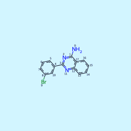 Nc1nc(-c2cccc(Br)c2)nc2ccccc12